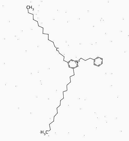 CCCCCCCCCCCCCCCCc1cc(CCCCCCCCCCCCCCCC)c[n+](CCCc2ccccc2)c1